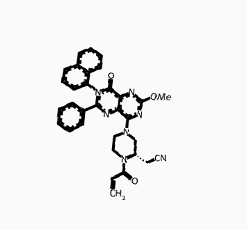 C=CC(=O)N1CCN(c2nc(OC)nc3c(=O)n(-c4cccc5ccccc45)c(-c4ccccc4)nc23)C[C@@H]1CC#N